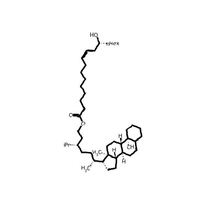 CCCCCC[C@@H](O)C/C=C\CCCCCCCC(=O)OCC[C@H](CC[C@@H](C)[C@H]1CC[C@H]2[C@@H]3CCC4CCCC[C@]4(C)[C@H]3CC[C@]12C)C(C)C